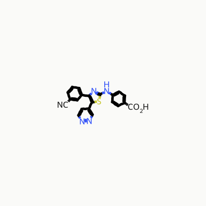 N#Cc1cccc(-c2nc(Nc3ccc(C(=O)O)cc3)sc2-c2ccnnc2)c1